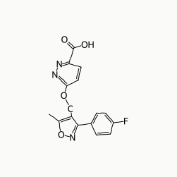 Cc1onc(-c2ccc(F)cc2)c1COc1ccc(C(=O)O)nn1